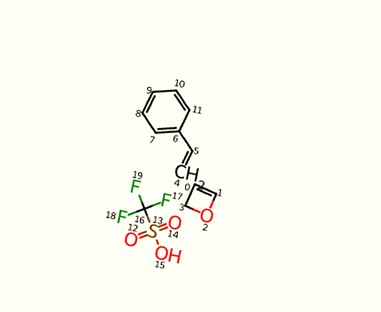 C1=COC1.C=Cc1ccccc1.O=S(=O)(O)C(F)(F)F